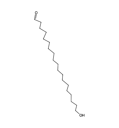 O=CCCCCCCCCCCCCCCCCCCO